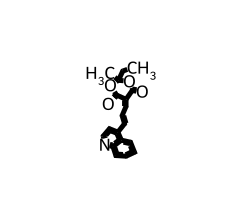 CCC1(C)OC(=O)C(=CC=Cc2ccnc3ccccc23)C(=O)O1